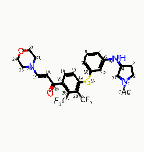 CC(=O)N1CCC(Nc2cccc(Sc3ccc(C(=O)C=CN4CCOCC4)c(C(F)(F)F)c3C(F)(F)F)c2)C1